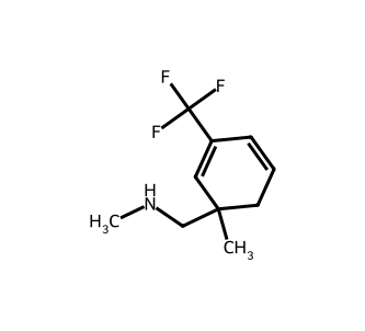 CNCC1(C)C=C(C(F)(F)F)C=CC1